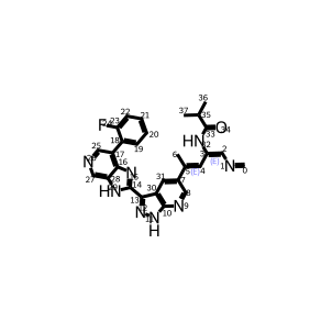 C=N/C=C(\C=C(/C)c1cnc2[nH]nc(-c3nc4c(-c5ccccc5F)cncc4[nH]3)c2c1)NC(=O)C(C)C